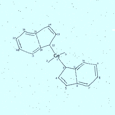 [CH3][Ge]([CH3])([CH]1C=Cc2ccccc21)[CH]1C=Cc2ccccc21